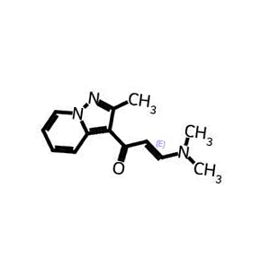 Cc1nn2ccccc2c1C(=O)/C=C/N(C)C